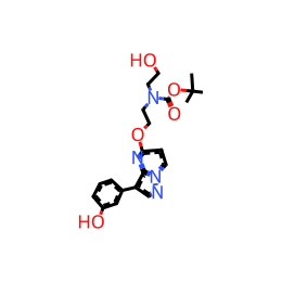 CC(C)(C)OC(=O)N(CCO)CCOc1ccn2ncc(-c3cccc(O)c3)c2n1